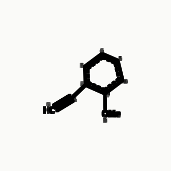 C#Cc1ccc[c]c1OC